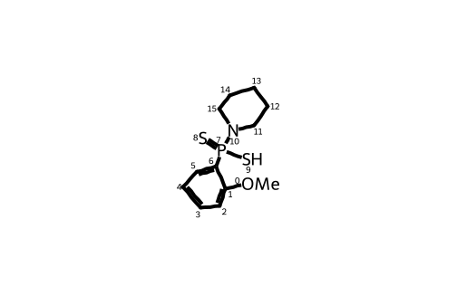 COc1ccccc1P(=S)(S)N1CCCCC1